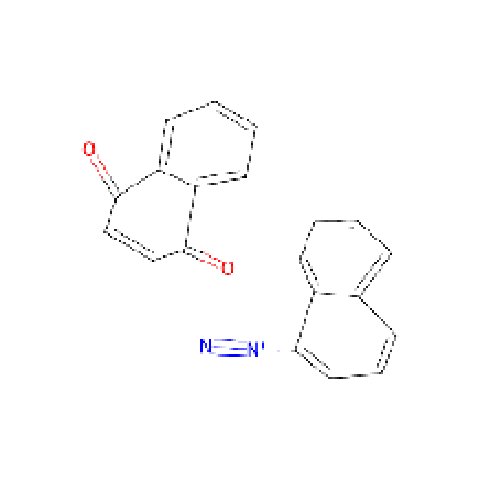 N#[N+]c1cccc2ccccc12.O=C1C=CC(=O)c2ccccc21